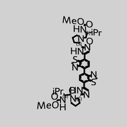 COC(=O)N[C@H](C(=O)N1CCC[C@H]1c1ncc(-c2ccc(-c3ccc(-c4cnc([C@@H]5CCCN5C(=O)[C@@H](NC(=O)OC)C(C)C)[nH]4)c4scnc34)c3ncsc23)[nH]1)C(C)C